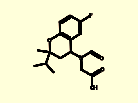 CC(C)C1(C)CC(N(C=O)CC(=O)O)c2cc(F)ccc2O1